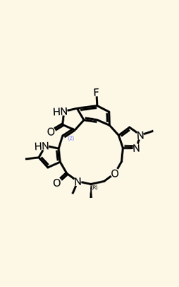 Cc1cc2c([nH]1)/C=C1\C(=O)Nc3c(F)cc(cc31)-c1cn(C)nc1COC[C@@H](C)N(C)C2=O